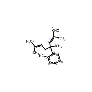 CC(C)=CCC(C)(/C=C(\C)C=O)c1ccccc1C#N